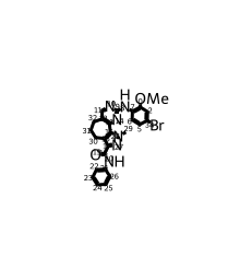 COc1cc(Br)ccc1Nc1ncc2c(n1)-c1c(c(C(=O)Nc3ccccc3)nn1C)CCC2